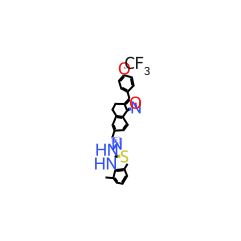 Cc1cccc(C)c1NC(=S)N/N=C/c1ccc2c(c1)CCc1c-2noc1-c1ccc(OC(F)(F)F)cc1